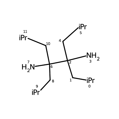 CC(C)CC(N)(CC(C)C)C(N)(CC(C)C)CC(C)C